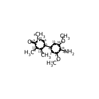 COc1cc(-c2cn(C)c(=O)c(C)c2C)cc(OC)c1N